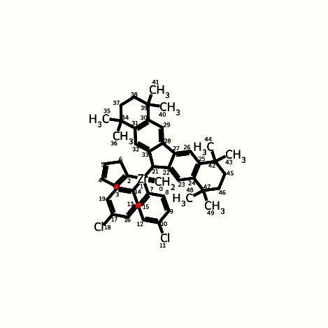 [CH2]=[Zr]([C]1=CC=CC1)([c]1ccc(Cl)cc1)([c]1ccc(Cl)cc1)[CH]1c2cc3c(cc2-c2cc4c(cc21)C(C)(C)CCC4(C)C)C(C)(C)CCC3(C)C